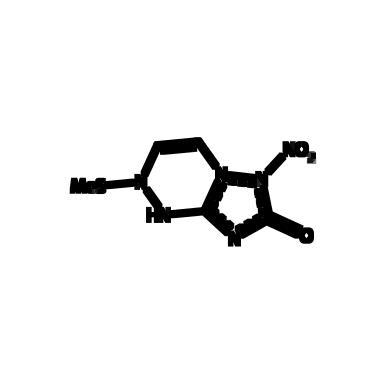 CSN1C=Cn2c(nc(=O)n2[N+](=O)[O-])N1